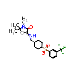 CN(C(=O)CNC[C@H]1CC[C@@H](S(=O)(=O)c2cccc(C(F)(F)F)c2)CC1)C(C)(C)C